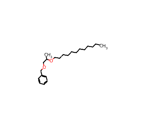 CCCCCCCCCCCCOC(C)COCc1ccccc1